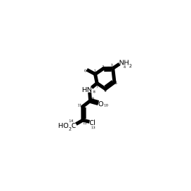 CC1C=C(N)C=CC1NC(=O)/C=C(\Cl)C(=O)O